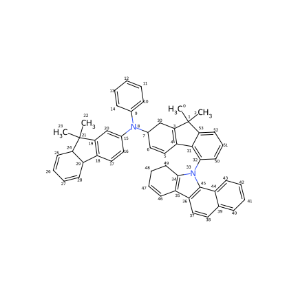 CC1(C)C2=C(C=CC(N(c3ccccc3)c3ccc4c(c3)C(C)(C)C3C=CC=CC43)C2)c2c(-n3c4c(c5ccc6ccccc6c53)C=CCC4)cccc21